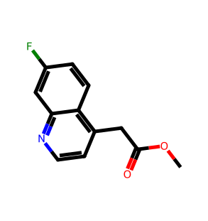 COC(=O)Cc1ccnc2cc(F)ccc12